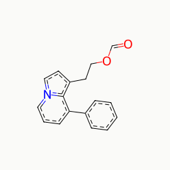 O=COCCc1ccn2cccc(-c3ccccc3)c12